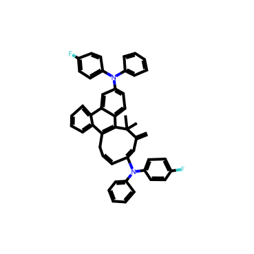 C=C1/C=C(N(c2ccccc2)c2ccc(F)cc2)\C=C/Cc2c(c3ccc(N(c4ccccc4)c4ccc(F)cc4)cc3c3ccccc23)C1(C)C